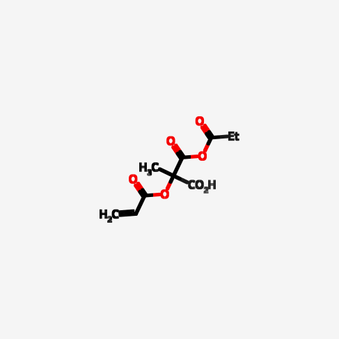 C=CC(=O)OC(C)(C(=O)O)C(=O)OC(=O)CC